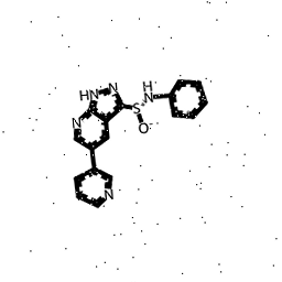 [O-][S+](Nc1ccccc1)c1n[nH]c2ncc(-c3cccnc3)cc12